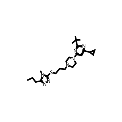 CCCc1nnc(SCCCN2CCN(c3cc(C4CC4)nc(C(C)(C)C)n3)CC2)n1C